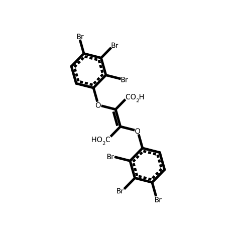 O=C(O)C(Oc1ccc(Br)c(Br)c1Br)=C(Oc1ccc(Br)c(Br)c1Br)C(=O)O